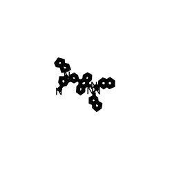 N#Cc1ccc2c(c1)c1cc(-c3c4ccccc4c(-c4nc(-c5ccc6ccccc6c5)nc(-c5ccc6ccccc6c5)n4)c4ccccc34)ccc1n2-c1ccc2ccccc2c1